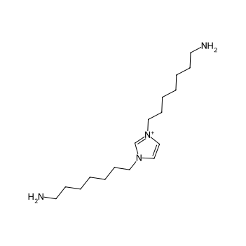 NCCCCCCCn1cc[n+](CCCCCCCN)c1